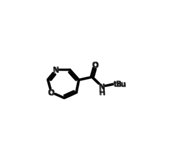 CC(C)(C)NC(=O)C1=CN=COC=C1